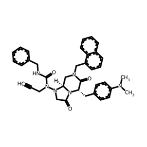 C#CCN(C(=O)NCc1ccccc1)N1CC(=O)N2[C@@H](Cc3ccc(N(C)C)cc3)C(=O)N(Cc3cccc4ccccc34)C[C@@H]21